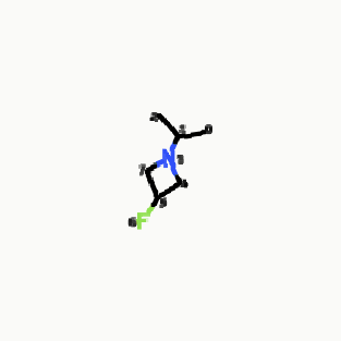 CC(C)N1CC(F)C1